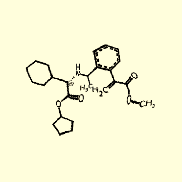 C=C(C(=O)OC)c1ccccc1C(C)N[C@H](C(=O)OC1CCCC1)C1CCCCC1